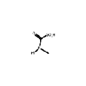 CC(C)N(C)C(=O)S(=O)(=O)O